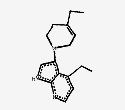 CCC1=CCN(c2c[nH]c3nccc(CC)c23)CC1